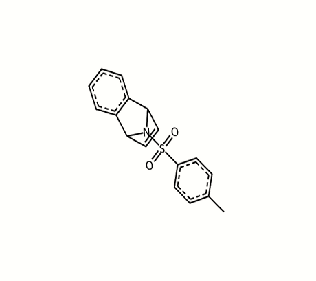 Cc1ccc(S(=O)(=O)N2C3C=CC2c2ccccc23)cc1